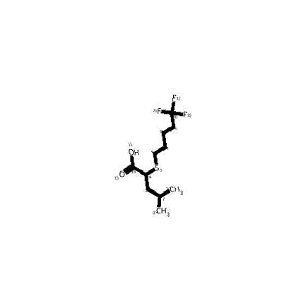 CC(C)CC(SCCCCC(F)(F)F)C(=O)O